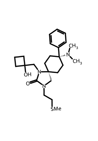 CSCCN1C[C@]2(CC[C@@](c3ccccc3)(N(C)C)CC2)N(CC2(O)CCC2)C1=O